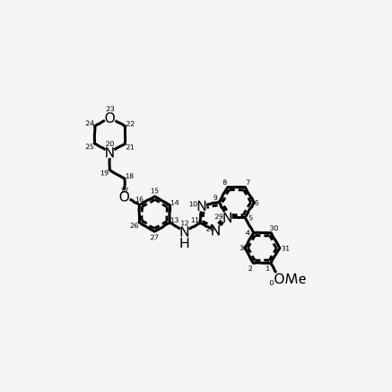 COc1ccc(-c2cccc3nc(Nc4ccc(OCCN5CCOCC5)cc4)nn23)cc1